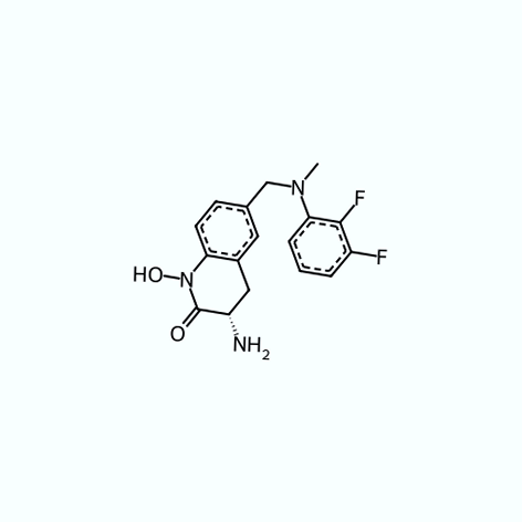 CN(Cc1ccc2c(c1)C[C@H](N)C(=O)N2O)c1cccc(F)c1F